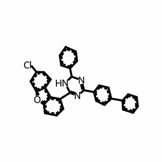 Clc1ccc2c(c1)oc1cccc(C3=NC(c4ccc(-c5ccccc5)cc4)=NC(c4ccccc4)N3)c12